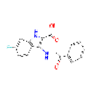 O=C(CNc1c(C(=O)O)[nH]c2cc(F)ccc12)c1ccccc1